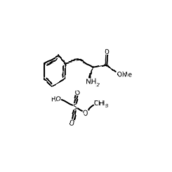 COC(=O)[C@@H](N)Cc1ccccc1.COS(=O)(=O)O